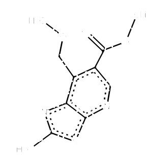 COCc1c(C(=O)OC)cnc2sc(C)nc12